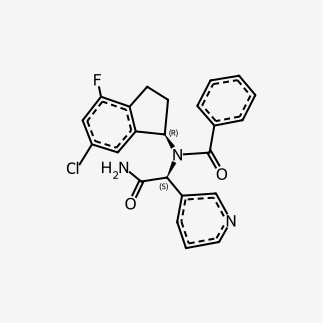 NC(=O)[C@H](c1cccnc1)N(C(=O)c1ccccc1)[C@@H]1CCc2c(F)cc(Cl)cc21